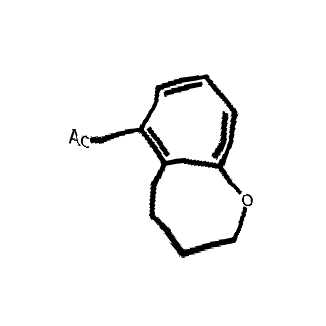 CC(=O)c1cccc2c1CCCO2